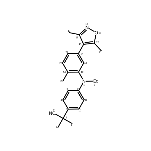 CCN(c1ccc(C(C)(C)C#N)cc1)c1cc(-c2c(C)noc2C)ccc1C